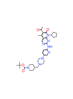 CC(=O)c1c(C)c2cnc(Nc3ccc(N4CCN(CC5CCN(C(=O)OC(C)(C)C)CC5)CC4)cn3)nc2n(C2CCCC2)c1=O